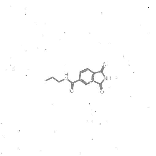 CCCNC(=O)c1ccc2c(c1)C(=O)NC2=O